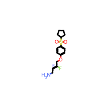 NC/C=C(\F)COc1ccc(S(=O)(=O)C2CCCC2)cc1